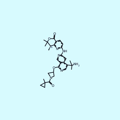 C[C@@H]1c2nc(Nc3cc4c(C(C)(C)N)cnc(OC5CN(C(=O)C6(C)CC6)C5)c4cn3)ccc2C(=O)OC1(C)C